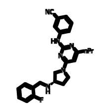 CCCc1cc(N2CC[C@H](NCc3ccccc3F)C2)nc(Nc2cccc(C#N)c2)n1